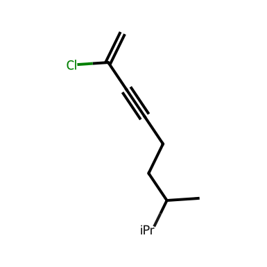 C=C(Cl)C#CCCC(C)C(C)C